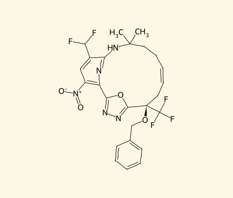 CC1(C)CCC=CC[C@](OCc2ccccc2)(C(F)(F)F)c2nnc(o2)-c2nc(c(C(F)F)cc2[N+](=O)[O-])N1